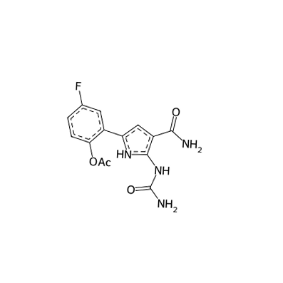 CC(=O)Oc1ccc(F)cc1-c1cc(C(N)=O)c(NC(N)=O)[nH]1